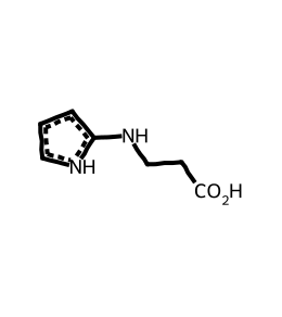 O=C(O)CCNc1ccc[nH]1